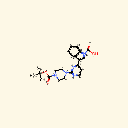 CC(C)(C)OC(=O)N1CCN(c2nccc(-c3cn(C(=O)O)c4ccccc34)n2)CC1